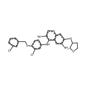 N#Cc1cnc2cc(OC3CCOC3)c(N)cc2c1Nc1ccc(OCc2cccc(Cl)c2)c(Cl)c1